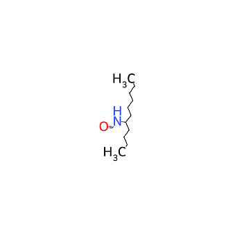 CCCCCCC(CCCC)NC=O